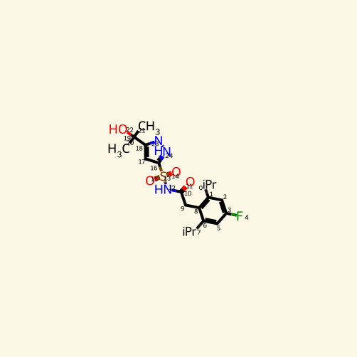 CC(C)c1cc(F)cc(C(C)C)c1CC(=O)NS(=O)(=O)c1cc(C(C)(C)O)[nH]n1